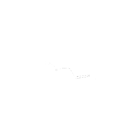 C=CCB[SiH3]